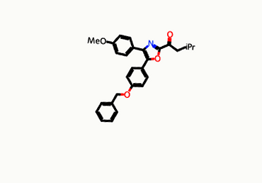 COc1ccc(-c2nc(C(=O)CC(C)C)oc2-c2ccc(OCc3ccccc3)cc2)cc1